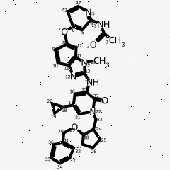 CC(=O)Nc1cc(Oc2ccc3nc(Nc4cc(C5CC5)cn(CC5CCCC5OCc5ccccc5)c4=O)n(C)c3c2)ccn1